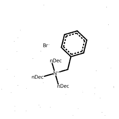 CCCCCCCCCC[N+](CCCCCCCCCC)(CCCCCCCCCC)Cc1ccccc1.[Br-]